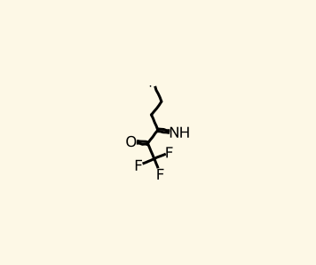 [CH2]CCC(=N)C(=O)C(F)(F)F